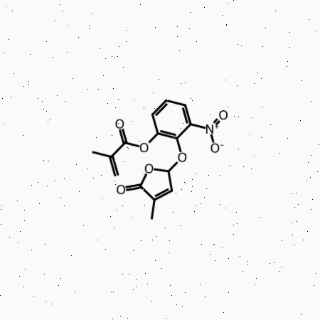 C=C(C)C(=O)Oc1cccc([N+](=O)[O-])c1OC1C=C(C)C(=O)O1